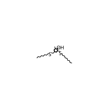 CCCCCCCCCSCc1cc(CCSCCCCCCCC)cc(C)c1O